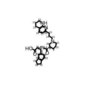 O=C(O)CC(NC(=O)[C@@H]1CCCN(CCCc2ccc3c(n2)NCCC3)C1)c1ccc2c(c1)CCC2